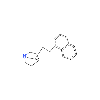 c1ccc2c(CCC3CN4CCC3CC4)cccc2c1